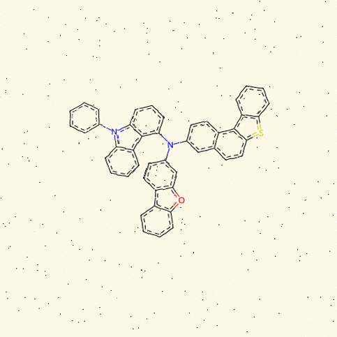 c1ccc(-n2c3ccccc3c3c(N(c4ccc5c(ccc6sc7ccccc7c65)c4)c4ccc5c(c4)oc4ccccc45)cccc32)cc1